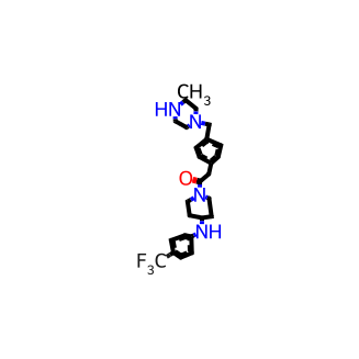 C[C@H]1CN(Cc2ccc(CC(=O)N3CCC(Nc4ccc(C(F)(F)F)cc4)CC3)cc2)CCN1